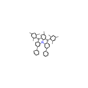 Cc1cc(C)c(B2c3ccc(-c4ccccc4)cc3N3c4cc(-c5ccccc5)ccc4B(c4c(C)cc(C)cc4C)c4cc(C)cc2c43)c(C)c1